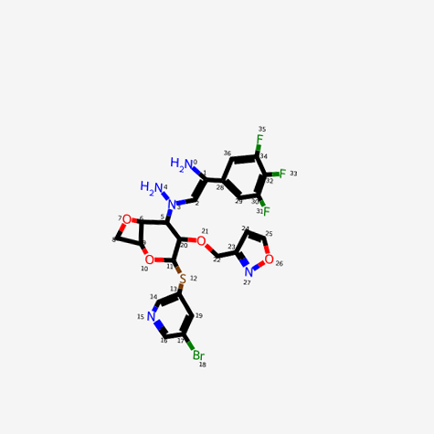 N/C(=C\N(N)C1C2OCC2OC(Sc2cncc(Br)c2)C1OCc1ccon1)c1cc(F)c(F)c(F)c1